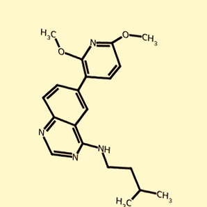 COc1ccc(-c2ccc3ncnc(NCCC(C)C)c3c2)c(OC)n1